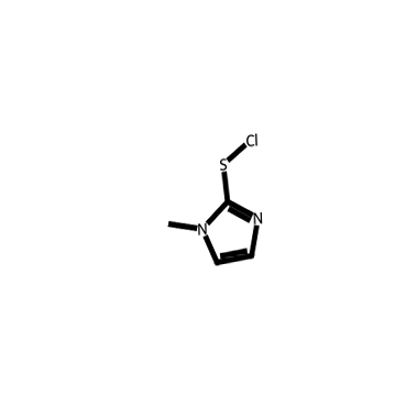 Cn1ccnc1SCl